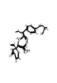 C=CC1(c2sc(C(CC)c3ccc(CC(C)C)cc3)nc2O)C=CC=CC1